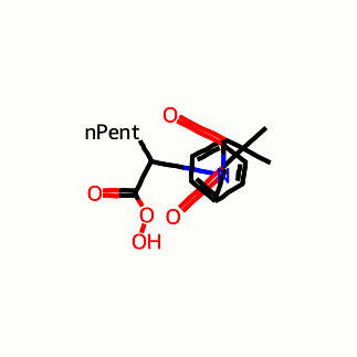 CCCCCC(C(=O)OO)n1c(=O)c2ccc(cc2)c1=O